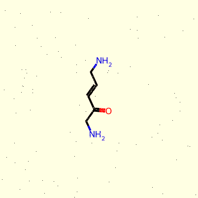 NCC=CC(=O)CN